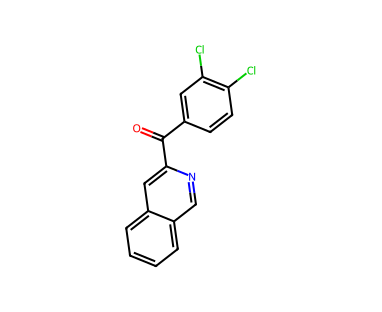 O=C(c1ccc(Cl)c(Cl)c1)c1cc2ccccc2cn1